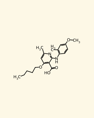 CCCCCOc1cc(C)nc(Nc2ccc(OC)cc2C)c1C(=O)O